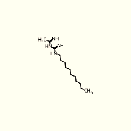 CCCCCCCCCCCNC(=N)NC(C)=N